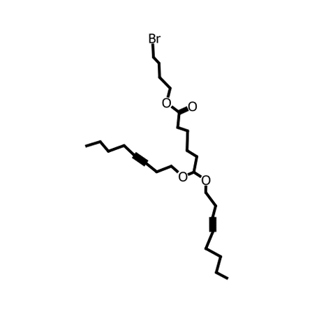 CCCCC#CCCOC(CCCCC(=O)OCCCCBr)OCCC#CCCCC